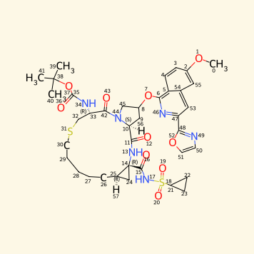 COc1ccc2c(OC3C[C@H]4C(=O)N[C@]5(C(=O)NS(=O)(=O)C6CC6)C[C@H]5CCCCCSC[C@H](NC(=O)OC(C)(C)C)C(=O)N4C3)nc(-c3ncco3)cc2c1